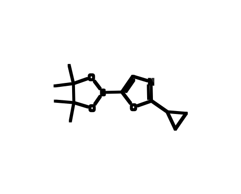 CC1(C)OB(c2cnc(C3CC3)o2)OC1(C)C